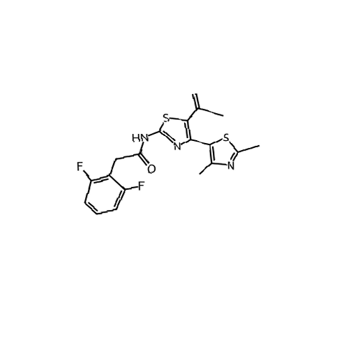 C=C(C)c1sc(NC(=O)Cc2c(F)cccc2F)nc1-c1sc(C)nc1C